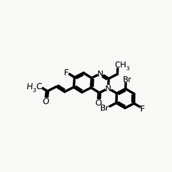 CCc1nc2cc(F)c(/C=C/C(C)=O)cc2c(=O)n1-c1c(Br)cc(F)cc1Br